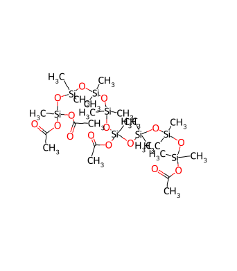 CC(=O)O[Si](C)(C)O[Si](C)(C)O[Si](C)(C)O[Si](C)(OC(C)=O)O[Si](C)(C)O[Si](C)(C)O[Si](C)(C)O[Si](C)(OC(C)=O)OC(C)=O